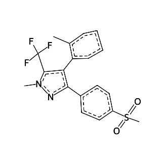 Cc1ccccc1-c1c(-c2ccc(S(C)(=O)=O)cc2)nn(C)c1C(F)(F)F